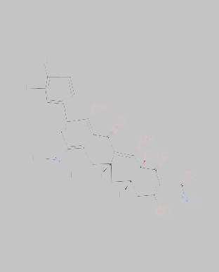 CN(C)c1cc(-c2ccc(Cl)c(Cl)c2)c(O)c2c1C[C@H]1C[C@H]3CC(O)=C(C(N)=O)C(=O)[C@@]3(O)C(O)=C1C2=O